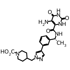 C[C@@H](NC(=O)c1[nH]c(=O)[nH]c(=O)c1N)c1cccc(-c2cnn(CC3CCN(C(=O)O)CC3)c2)c1